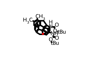 Cc1ccc(-c2cc3ccc2CCc2ccc(c(-c4ccc(NC(=O)OC(C)(C)C)c(NC(=O)OC(C)(C)C)c4)c2)CC3)cc1C